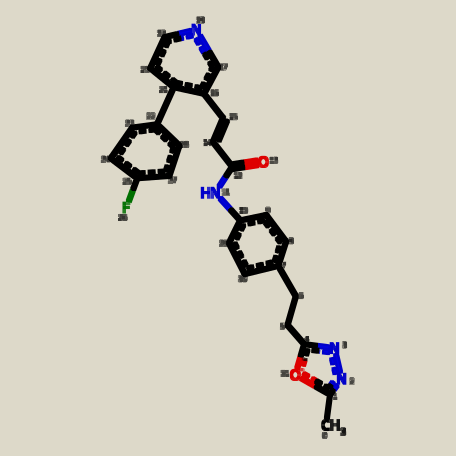 Cc1nnc(CCc2ccc(NC(=O)C=Cc3cnccc3-c3ccc(F)cc3)cc2)o1